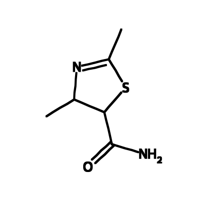 CC1=NC(C)C(C(N)=O)S1